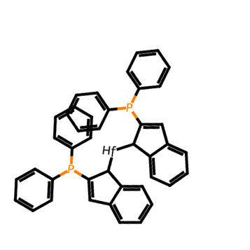 C1=C(P(c2ccccc2)c2ccccc2)[CH]([Hf][CH]2C(P(c3ccccc3)c3ccccc3)=Cc3ccccc32)c2ccccc21